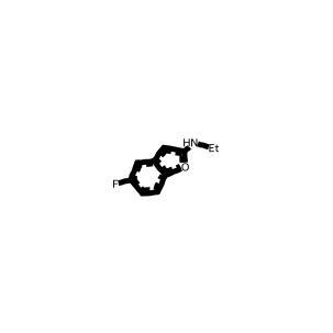 CCNc1cc2cc(F)ccc2o1